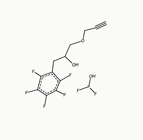 C#CCOCC(O)Cc1c(F)c(F)c(F)c(F)c1F.OP(F)F